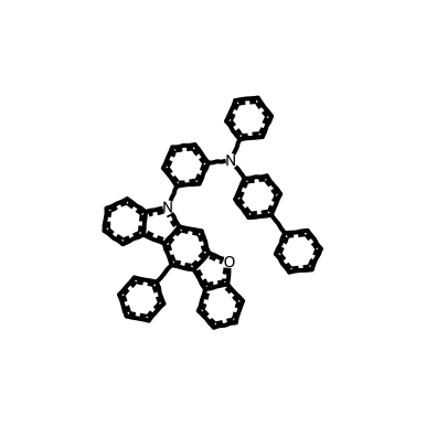 c1ccc(-c2ccc(N(c3ccccc3)c3cccc(-n4c5ccccc5c5c(-c6ccccc6)c6c(cc54)oc4ccccc46)c3)cc2)cc1